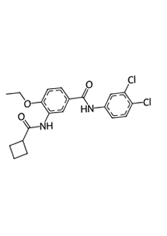 CCOc1ccc(C(=O)Nc2ccc(Cl)c(Cl)c2)cc1NC(=O)C1CCC1